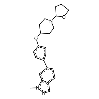 Cn1ncc2ccc(-c3ccc(OC4CCN(C5CCCO5)CC4)cc3)cc21